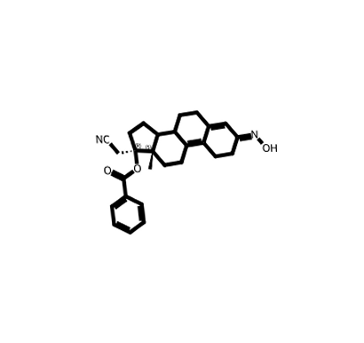 C[C@]12CCC3=C4CCC(=NO)C=C4CCC3C1CC[C@]2(CC#N)OC(=O)c1ccccc1